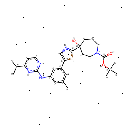 Cc1cc(Nc2nccc(C(C)C)n2)cc(-c2cnc(C3(O)CCCN(C(=O)OC(C)(C)C)CC3)s2)c1